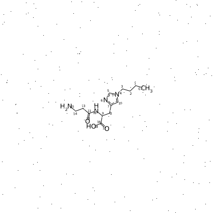 CCCCn1cnc(CC(NC(=O)CCN)C(=O)O)c1